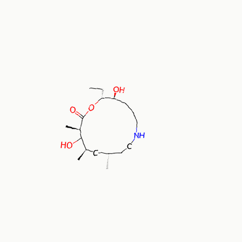 CC[C@H]1OC(=O)[C@H](C)C(O)[C@H](C)C[C@@H](C)CCNCCC[C@@H]1O